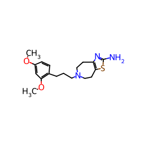 COc1ccc(CCCN2CCc3nc(N)sc3CC2)c(OC)c1